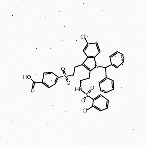 O=C(O)c1ccc(S(=O)(=O)CCc2c(CCNS(=O)(=O)c3ccccc3Cl)n(C(c3ccccc3)c3ccccc3)c3ccc(Cl)cc23)cc1